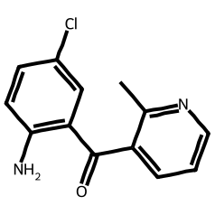 Cc1ncccc1C(=O)c1cc(Cl)ccc1N